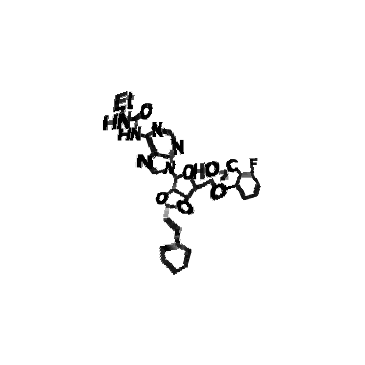 CCNC(=O)Nc1ncnc2c1ncn2C1OC(COc2cccc(F)c2C(=O)O)C2O[C@H](/C=C/c3ccccc3)OC21